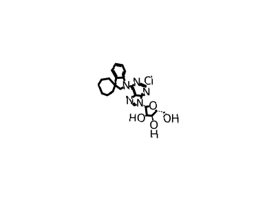 OC[C@H]1O[C@@H](n2cnc3c(N4CC5(CCCCCC5)c5ccccc54)nc(Cl)nc32)[C@H](O)[C@@H]1O